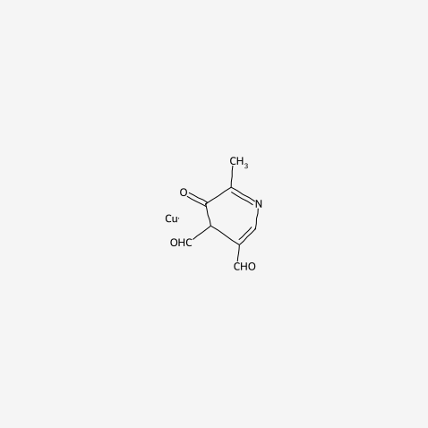 CC1=NC=C(C=O)C(C=O)C1=O.[Cu]